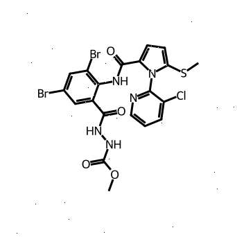 COC(=O)NNC(=O)c1cc(Br)cc(Br)c1NC(=O)c1ccc(SC)n1-c1ncccc1Cl